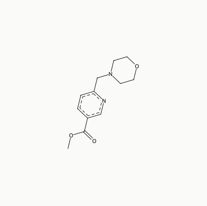 COC(=O)c1ccc(CN2CCOCC2)nc1